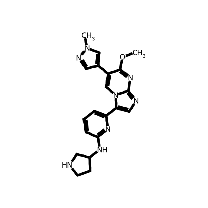 COc1nc2ncc(-c3cccc(NC4CCNC4)n3)n2cc1-c1cnn(C)c1